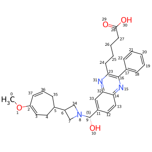 COC1=CCC(C2CN([C@@H](O)c3ccc4nc(-c5ccccc5)c(CCCCC(=O)O)nc4c3)C2)CC=C1